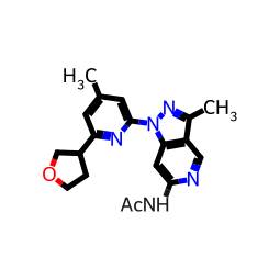 CC(=O)Nc1cc2c(cn1)c(C)nn2-c1cc(C)cc(C2CCOC2)n1